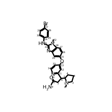 CN1CCCC1C(CC(N)=O)c1cc(Oc2ccc3c(c2)nc(Nc2ccc(Br)cc2)n3C)ccn1